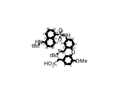 COc1ccc(CC(=O)O)cc1Oc1ccc(NS(=O)(=O)c2cccc3c(NC(C)(C)C)cccc23)cc1CSC(C)(C)C